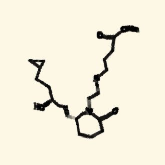 COC(=O)CCCSCCN1C(=O)CCC[C@@H]1C=C[C@@H](O)CCC1CC1